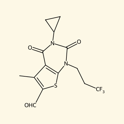 Cc1c(C=O)sc2c1c(=O)n(C1CC1)c(=O)n2CCC(F)(F)F